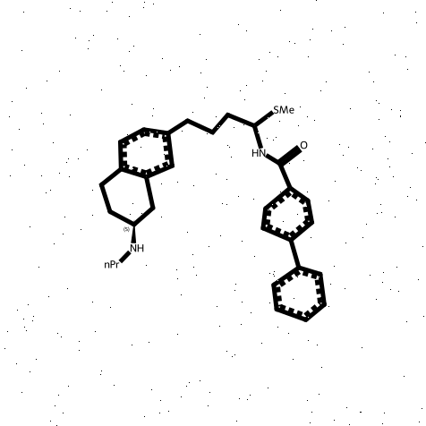 CCCN[C@H]1CCc2ccc(CCCC(NC(=O)c3ccc(-c4ccccc4)cc3)SC)cc2C1